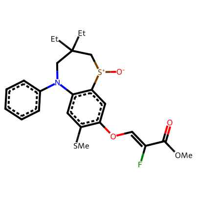 CCC1(CC)CN(c2ccccc2)c2cc(SC)c(O/C=C(\F)C(=O)OC)cc2[S+]([O-])C1